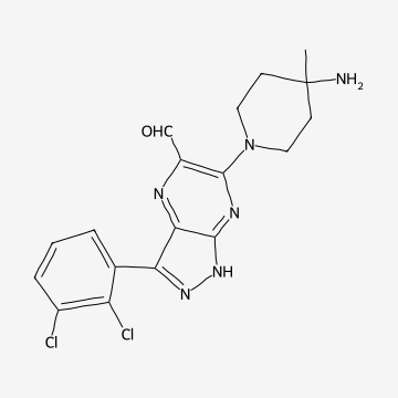 CC1(N)CCN(c2nc3[nH]nc(-c4cccc(Cl)c4Cl)c3nc2C=O)CC1